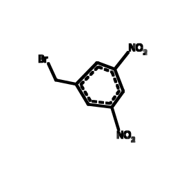 O=[N+]([O-])c1cc(CBr)cc([N+](=O)[O-])c1